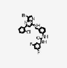 O=C(Nc1cc(F)cc(F)c1)Nc1cccc(CNc2cc(-c3ccccc3Cl)nc3c(Br)cnn23)c1